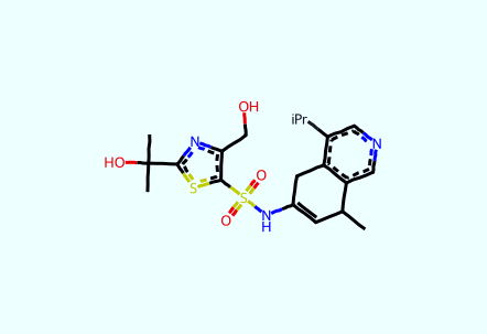 CC(C)c1cncc2c1CC(NS(=O)(=O)c1sc(C(C)(C)O)nc1CO)=CC2C